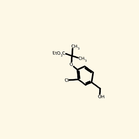 CCOC(=O)C(C)(C)Oc1ccc(CO)cc1Cl